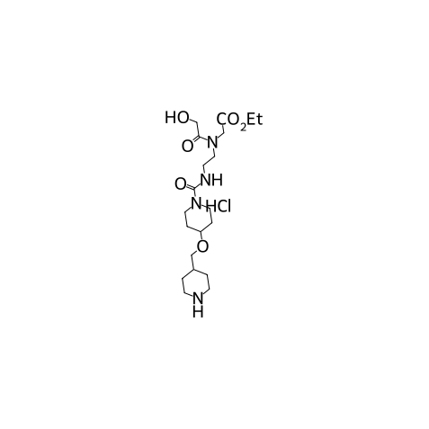 CCOC(=O)CN(CCNC(=O)N1CCC(OCC2CCNCC2)CC1)C(=O)CO.Cl